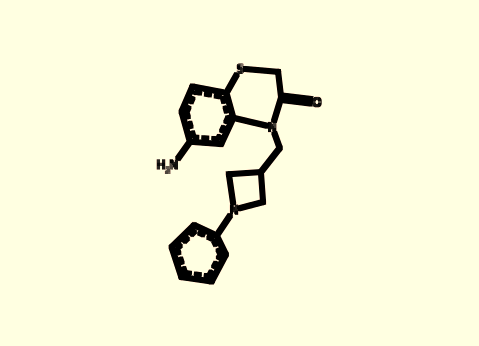 Nc1ccc2c(c1)N(CC1CN(c3ccccc3)C1)C(=O)CS2